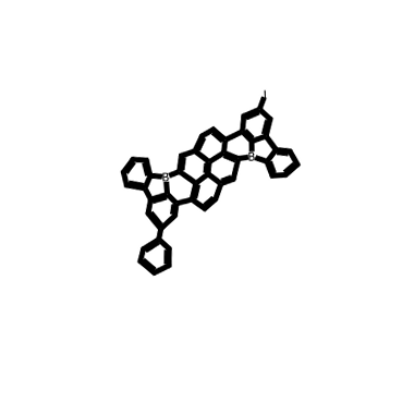 Ic1cc2c3c(c1)-c1ccc4cc5c6c(ccc7cc(c1c4c76)B3c1ccccc1-2)-c1cc(-c2ccccc2)cc2c1B5c1ccccc1-2